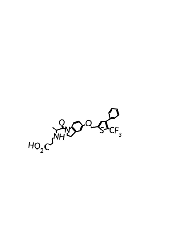 C[C@H](NCCC(=O)O)C(=O)N1CCc2cc(OCc3cc(-c4ccccc4)c(C(F)(F)F)s3)ccc21